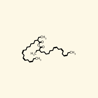 CC/C=C\C/C=C\C/C=C\CCCCCCC(CC)C(=O)OC(=O)C(CC)CCCCCC/C=C\C/C=C\C/C=C\CC